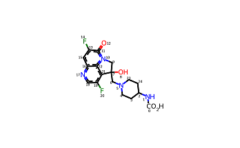 O=C(O)NC1CCN(CC2(O)Cn3c(=O)c(F)cc4ncc(F)c2c43)CC1